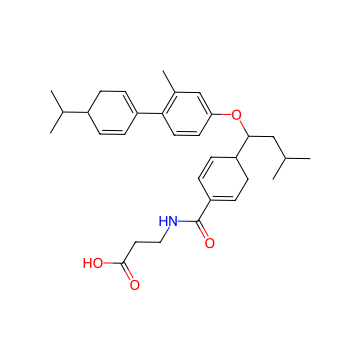 Cc1cc(OC(CC(C)C)C2C=CC(C(=O)NCCC(=O)O)=CC2)ccc1C1=CCC(C(C)C)C=C1